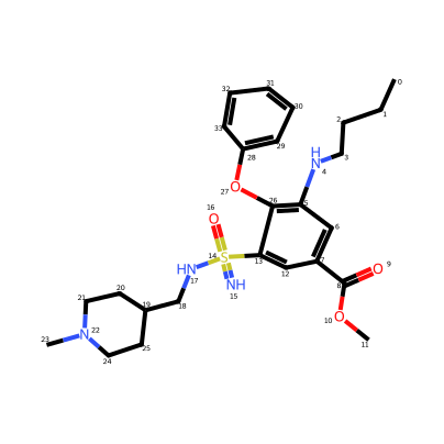 CCCCNc1cc(C(=O)OC)cc(S(=N)(=O)NCC2CCN(C)CC2)c1Oc1ccccc1